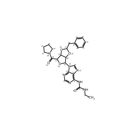 CCNC(=O)Nc1ncnc2c1ncn2C1OC(C(=O)N2CCCC2)C2OC(Cc3ccccc3)OC21